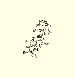 CC[C@H](C)[C@@H]([C@@H](CC(=O)N1CCC[C@H]1[C@H](OC)[C@@H](C)C(=O)NC)OC)N(C)C(=O)[C@@H](NC(=O)C(C(C)C)N(C)C)C(C)C